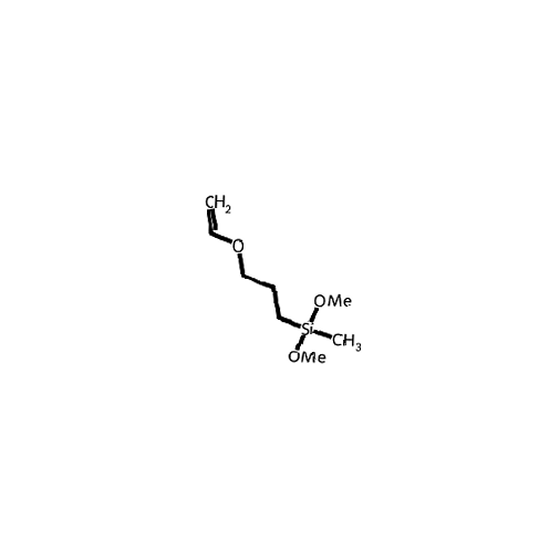 C=COCCC[Si](C)(OC)OC